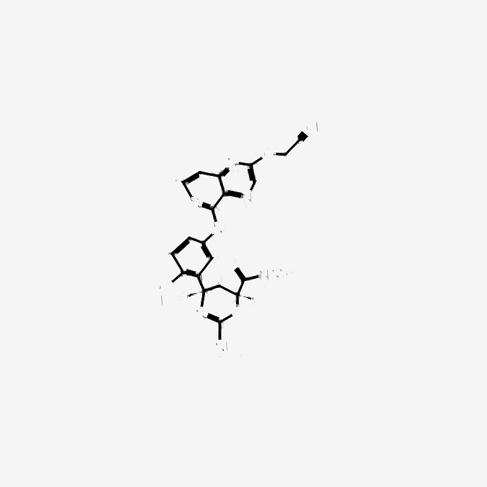 C#CCOc1cnc2c(Nc3ccc(F)c([C@]4(C)C[C@](C)(C(=O)NC)SC(N)=N4)c3)nccc2n1